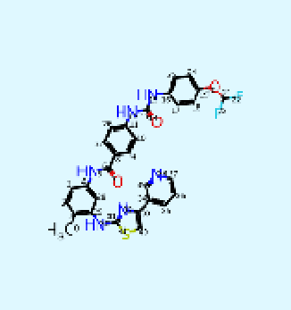 Cc1ccc(NC(=O)c2ccc(NC(=O)Nc3ccc(OC(F)F)cc3)cc2)cc1Nc1nc(-c2cccnc2)cs1